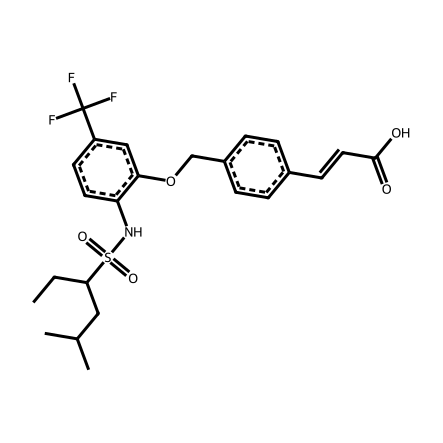 CCC(CC(C)C)S(=O)(=O)Nc1ccc(C(F)(F)F)cc1OCc1ccc(/C=C/C(=O)O)cc1